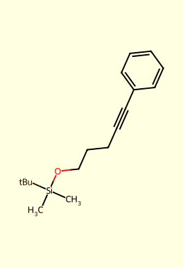 CC(C)(C)[Si](C)(C)OCCCC#Cc1ccccc1